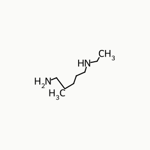 CCNCCCC(C)CN